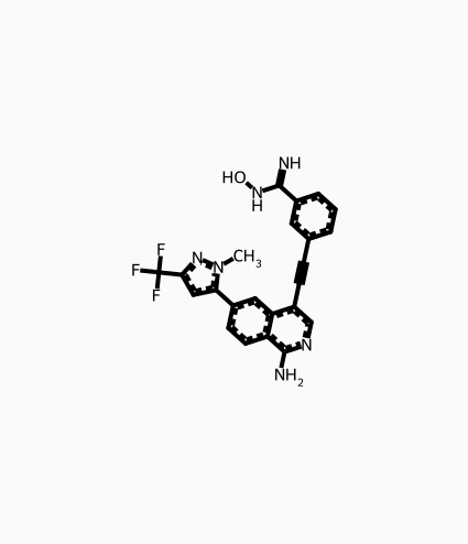 Cn1nc(C(F)(F)F)cc1-c1ccc2c(N)ncc(C#Cc3cccc(C(=N)NO)c3)c2c1